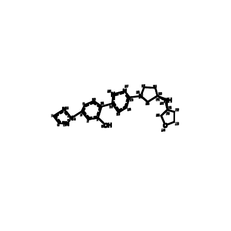 Oc1cc(-n2nccn2)ccc1-c1ccc(N2CC[C@@H](N[C@H]3CCOC3)C2)nn1